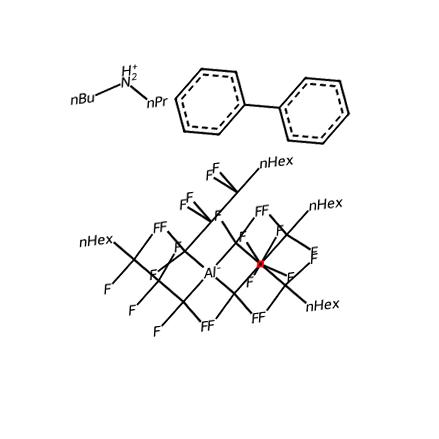 CCCCCCC(F)(F)C(F)(F)[C](F)(F)[Al-]([C](F)(F)C(F)(F)C(F)(F)CCCCCC)([C](F)(F)C(F)(F)C(F)(F)CCCCCC)[C](F)(F)C(F)(F)C(F)(F)CCCCCC.CCCC[NH2+]CCC.c1ccc(-c2ccccc2)cc1